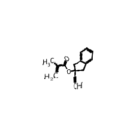 C#CC1(OC(=O)C(=C)C)Cc2ccccc2C1